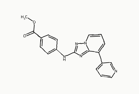 COC(=O)c1ccc(Nc2nc3c(-c4cccnc4)cccn3n2)cc1